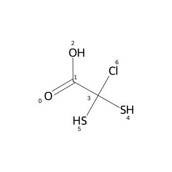 O=C(O)C(S)(S)Cl